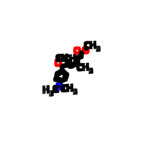 COC(=O)C=CC(C)=CC(C)C(OC)c1ccc(N(C)C)cc1